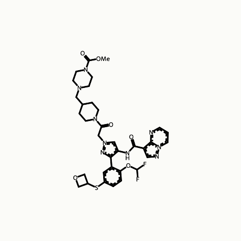 COC(=O)N1CCN(CC2CCN(C(=O)Cn3cc(NC(=O)c4cnn5cccnc45)c(-c4cc(SC5COC5)ccc4OC(F)F)n3)CC2)CC1